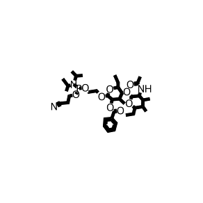 CCC1OC(OC2C(CC)OC(OCCOP(OCCC#N)N(C(C)C)C(C)C)C(OC(=O)c3ccccc3)C2C)C(NC(C)=O)C(C)C1C